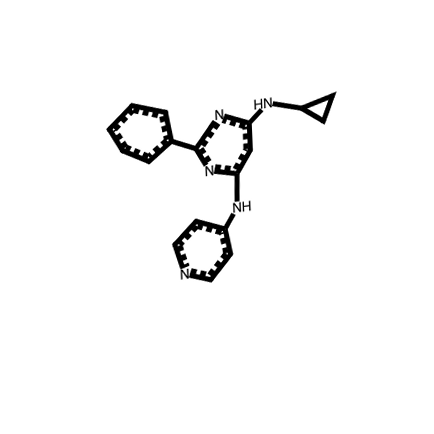 c1ccc(-c2nc(Nc3ccncc3)cc(NC3CC3)n2)cc1